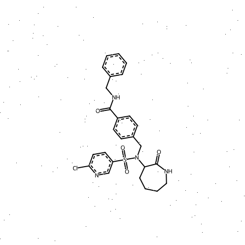 O=C(NCc1ccccc1)c1ccc(CN(C2CCCCNC2=O)S(=O)(=O)c2ccc(Cl)nc2)cc1